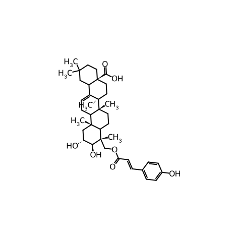 CC1(C)CC[C@]2(C(=O)O)CC[C@]3(C)C(=CCC4[C@@]5(C)C[C@@H](O)[C@H](O)[C@@](C)(COC(=O)/C=C/c6ccc(O)cc6)C5CC[C@]43C)C2C1